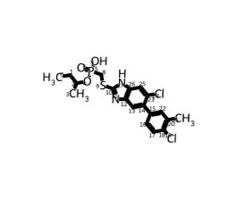 CCC(C)OP(=O)(O)CSc1nc2cc(-c3ccc(Cl)c(C)c3)c(Cl)cc2[nH]1